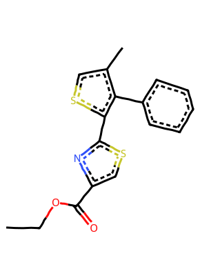 CCOC(=O)c1csc(-c2scc(C)c2-c2ccccc2)n1